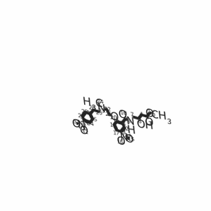 COC(=O)CC(O)CNC(=O)c1cc([N+](=O)[O-])ccc1OCCN(C)CCc1ccc([N+](=O)[O-])cc1